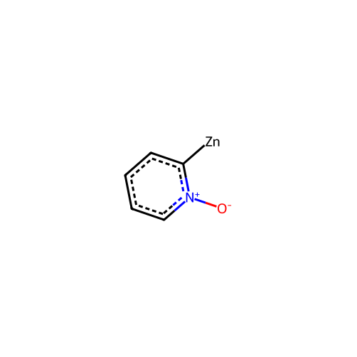 [O-][n+]1cccc[c]1[Zn]